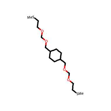 CSCCOCOCC1CCC(COCOCCSC)CC1